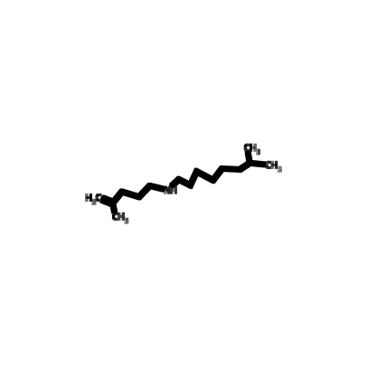 C=C(C)CCCNCCCCCCC(C)C